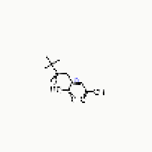 CC(C)(C)C(=O)C/C(=C/C(=O)O)C(=O)O